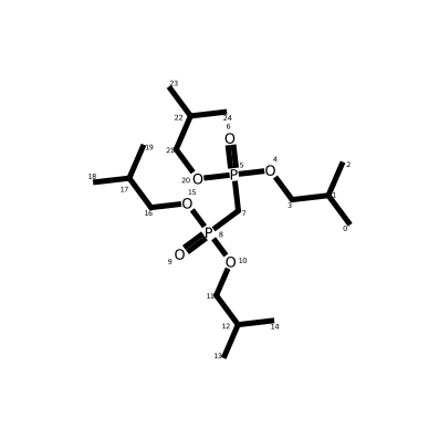 CC(C)COP(=O)(CP(=O)(OCC(C)C)OCC(C)C)OCC(C)C